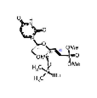 COC[C@@H](O[C@H](/C=C/P(=O)(OC)OC)CO[Si](C)(C)C(C)(C)C)n1ccc(=O)[nH]c1=O